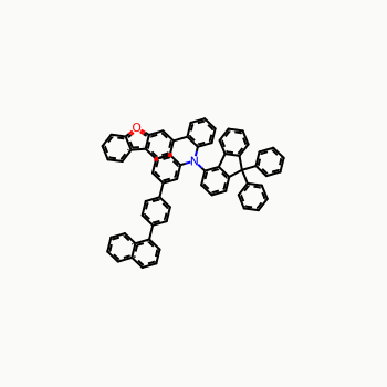 c1ccc(C2(c3ccccc3)c3ccccc3-c3c(N(c4cccc(-c5ccc(-c6cccc7ccccc67)cc5)c4)c4ccccc4-c4ccc5c(c4)oc4ccccc45)cccc32)cc1